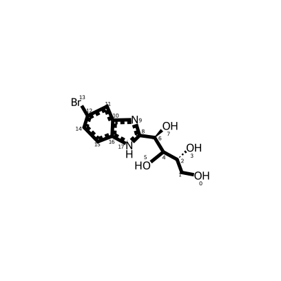 OC[C@@H](O)C(O)[C@H](O)c1nc2cc(Br)ccc2[nH]1